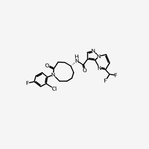 O=C(N[C@@H]1CCCCN(c2ccc(F)cc2Cl)C(=O)CC1)c1cnn2ccc(C(F)F)nc12